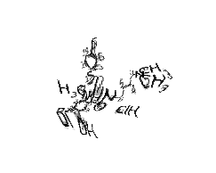 CN(C)CCCCNC(=O)c1c(CSc2ccc(F)cc2)n(C)c2cc(Br)c(O)cc12.Cl